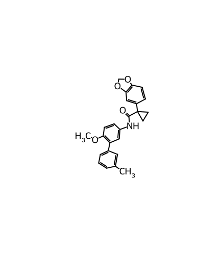 COc1ccc(NC(=O)C2(c3ccc4c(c3)OCO4)CC2)cc1-c1cccc(C)c1